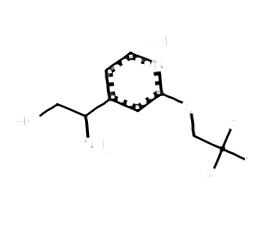 Cl.NC(CO)c1ccnc(OCC(F)(F)F)c1